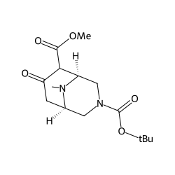 COC(=O)C1C(=O)C[C@@H]2CN(C(=O)OC(C)(C)C)C[C@H]1N2C